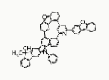 CC1(C)c2ccccc2-c2cc3c(cc21)c1cc(-c2ccc4oc5cccc(-c6cc(-c7ccccc7)nc(-c7ccc8c(c7)oc7ccccc78)c6)c5c4c2)ccc1n3-c1ccccc1